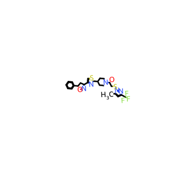 Cc1cc(C(F)(F)F)nn1SCC(=O)N1CCC(c2nc(C3=NOC(c4ccccc4)C3)cs2)CC1